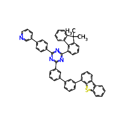 CC1(C)c2ccccc2-c2c(-c3nc(-c4ccc(-c5cccnc5)cc4)nc(-c4cccc(-c5cccc(-c6cccc7c6sc6ccccc67)c5)c4)n3)cccc21